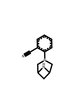 N#Cc1ccccc1N1CC2CC(C1)N2